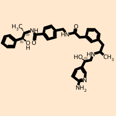 CC(Cc1cccc(CC(=O)NCc2ccc(C(=O)N[C@@H](C)[C@@H](O)c3ccccc3)cc2)c1)NC[C@@H](O)c1ccc(N)nc1